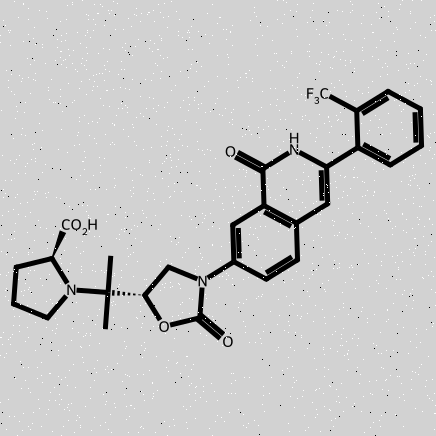 CC(C)([C@@H]1CN(c2ccc3cc(-c4ccccc4C(F)(F)F)[nH]c(=O)c3c2)C(=O)O1)N1CCC[C@H]1C(=O)O